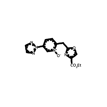 CCOC(=O)c1coc(Cc2ccc(-n3nccn3)c[n+]2[O-])n1